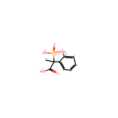 CC(C(=O)O)(c1ccccc1O)P(=O)(O)O